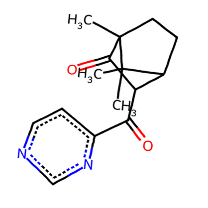 CC12CCC(C(C(=O)c3ccncn3)C1=O)C2(C)C